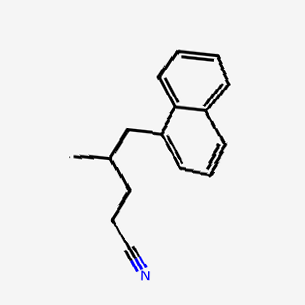 [CH2]C(CCC#N)Cc1cccc2ccccc12